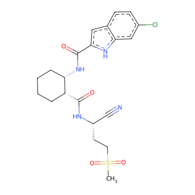 CS(=O)(=O)CC[C@@H](C#N)NC(=O)[C@@H]1CCCC[C@@H]1NC(=O)c1cc2ccc(Cl)cc2[nH]1